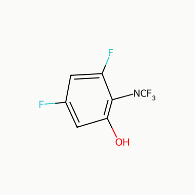 Oc1cc(F)cc(F)c1NC(F)(F)F